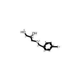 OC[C@@H](O)COCc1ccc(I)cc1